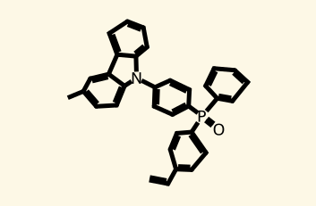 C=Cc1ccc(P(=O)(c2ccccc2)c2ccc(-n3c4ccccc4c4cc(C)ccc43)cc2)cc1